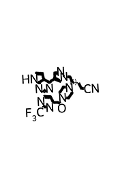 N#CCC[C@@H](Cn1cc(C2N=CN=C3NC=CC32)cn1)N1CCN(C(=O)c2ccnc(C(F)(F)F)n2)CC1